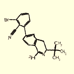 [2H]C1=NC(C(C)(C)C)Cc2cc(-c3cccc(Br)c3C#N)ccc21